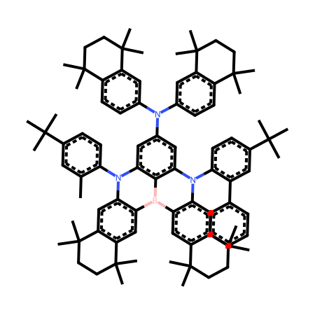 Cc1cc(C(C)(C)C)ccc1N1c2cc3c(cc2B2c4cc5c(cc4N(c4ccc(C(C)(C)C)cc4-c4ccccc4)c4cc(N(c6ccc7c(c6)C(C)(C)CCC7(C)C)c6ccc7c(c6)C(C)(C)CCC7(C)C)cc1c42)C(C)(C)CCC5(C)C)C(C)(C)CCC3(C)C